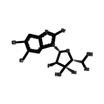 CC(=O)C(O)[C@H]1O[C@@H](n2c(Br)nc3cc(Cl)c(Cl)cc32)[C@H](F)[C@@]1(O)C(C)=O